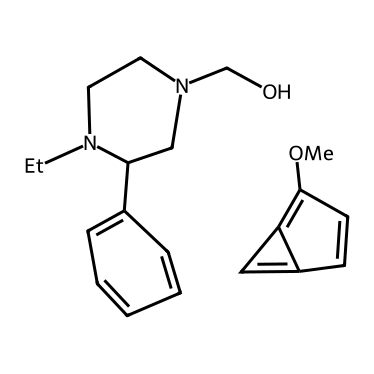 CCN1CCN(CO)CC1c1ccccc1.COc1ccc2cc1-2